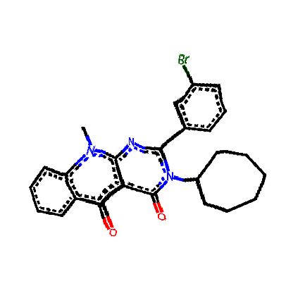 Cn1c2ccccc2c(=O)c2c(=O)n(C3CCCCCC3)c(-c3cccc(Br)c3)nc21